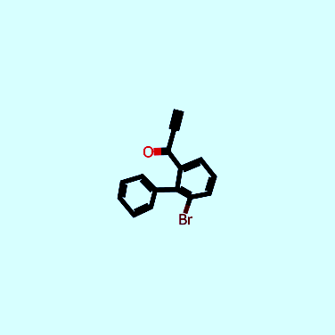 C#CC(=O)c1cccc(Br)c1-c1ccccc1